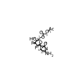 CC(=O)COCC(=O)OC[C@H]1O[C@@H](n2ccc(N)nc2=O)C(F)[C@@H](F)C1O